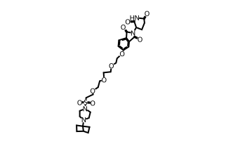 O=C1CCC(N2C(=O)c3ccc(OCCOCCOCCOCCS(=O)(=O)N4CCN(C56CCC5CC6)CC4)cc3C2=O)C(=O)N1